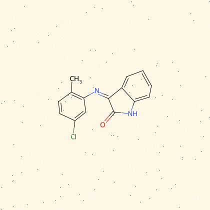 Cc1ccc(Cl)cc1/N=C1\C(=O)Nc2ccccc21